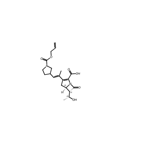 C=CCOC(=O)N1CCC(C=C(C)C2=C(C(=O)O)N3C(=O)[C@H]([C@@H](C)O)[C@H]3C2)C1